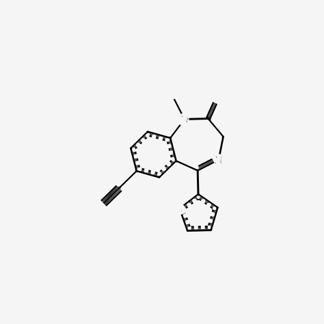 C#Cc1ccc2c(c1)C(c1cccs1)=NCC(=O)N2C